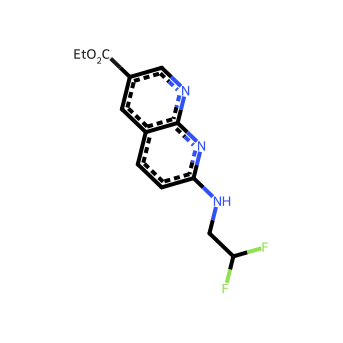 CCOC(=O)c1cnc2nc(NCC(F)F)ccc2c1